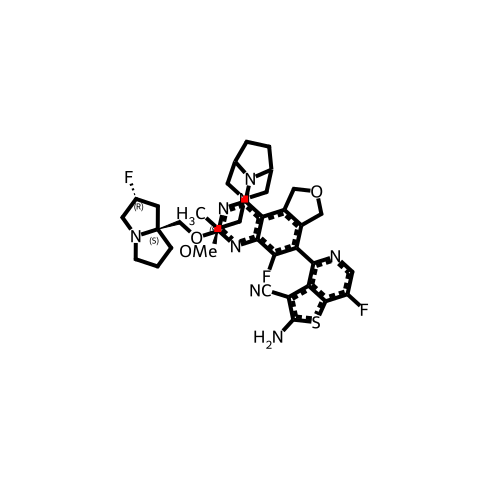 CO[C@@H](C)CN1CC2CCC(C1)N2c1nc(OC[C@@]23CCCN2C[C@H](F)C3)nc2c(F)c(-c3ncc(F)c4sc(N)c(C#N)c34)c3c(c12)COC3